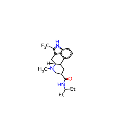 CCC(CC)NC(=O)[C@@H]1CC2c3cccc4[nH]c(C(F)(F)F)c(c34)C[C@H]2N(C)C1